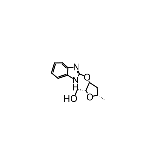 C[C@H]1C[C@@H](Oc2nc3ccccc3[nH]2)[C@@H](CO)O1